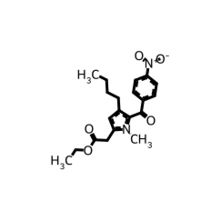 CCCCc1cc(CC(=O)OCC)n(C)c1C(=O)c1ccc([N+](=O)[O-])cc1